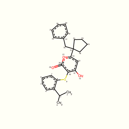 CC(C)c1ccccc1Sc1c(O)cc(C2(Cc3ccccc3)CCCC2)oc1=O